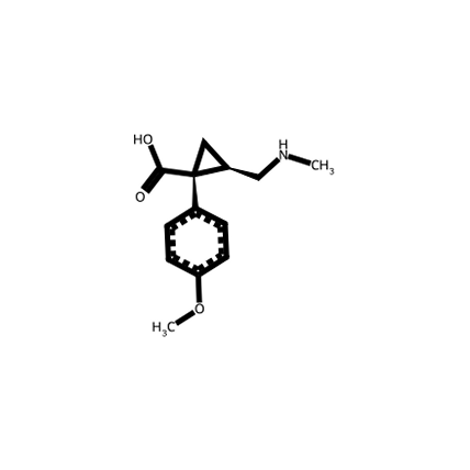 CNC[C@@H]1C[C@]1(C(=O)O)c1ccc(OC)cc1